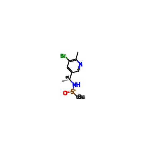 Cc1ncc([C@@H](C)N[S+]([O-])C(C)(C)C)cc1Br